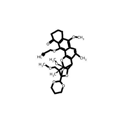 C#CCOc1c2c(c(OC)c3cc(C)c4c(c13)O[C@]1(OC)C3OC(C5OCCCO5)(OC43)[C@]1(C)COC)CCCC2=O